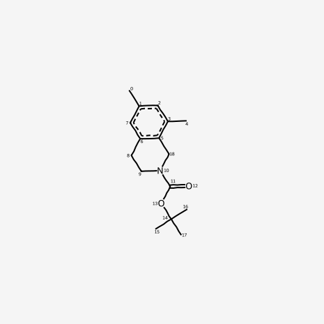 Cc1cc(C)c2c(c1)CCN(C(=O)OC(C)(C)C)C2